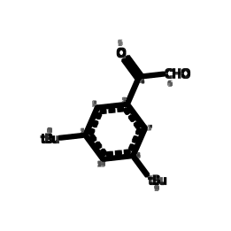 CC(C)(C)c1cc(C(=O)C=O)cc(C(C)(C)C)c1